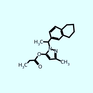 CCC(=O)Oc1cc(C)nn1C(C)c1ccc2c(c1)CCCC2